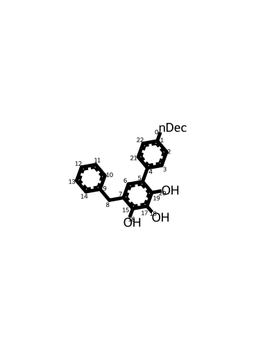 CCCCCCCCCCc1ccc(-c2cc(Cc3ccccc3)c(O)c(O)c2O)cc1